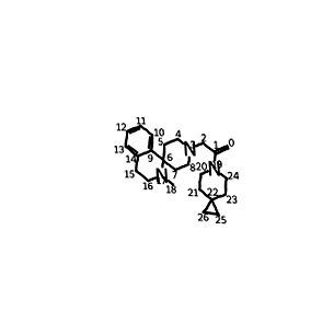 C=C(CN1CCC2(CC1)c1ccccc1CCN2C)N1CCC2(CC1)CC2